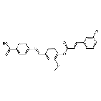 COc1cc(/C=N/c2ccc(C(=O)O)cc2)ccc1OC(=O)/C=C/c1cccc(Cl)c1